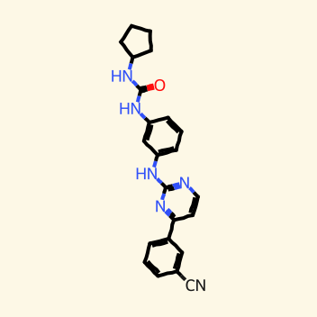 N#Cc1cccc(-c2ccnc(Nc3cccc(NC(=O)NC4CCCC4)c3)n2)c1